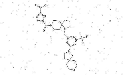 O=C(O)c1ccn(C(=O)N2CCC3(CCCN3Cc3cc(N4CCC5(CCOCC5)C4)cc(C(F)(F)F)c3)CC2)n1